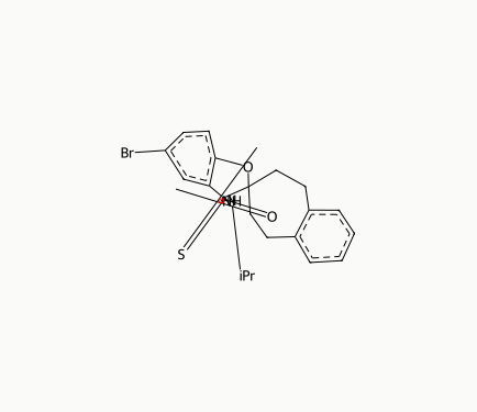 CC(C)N1C(=O)C2(NC1=S)c1cc(Br)ccc1OC21CCc2ccccc2CC1